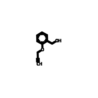 C#CCOc1ccccc1CO